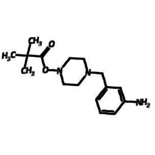 CC(C)(C)C(=O)ON1CCN(Cc2cccc(N)c2)CC1